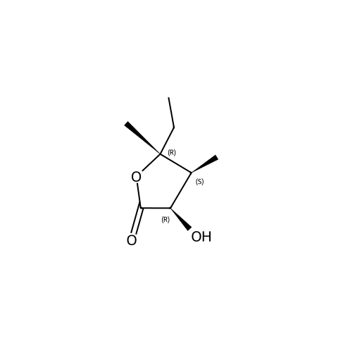 CC[C@@]1(C)OC(=O)[C@H](O)[C@@H]1C